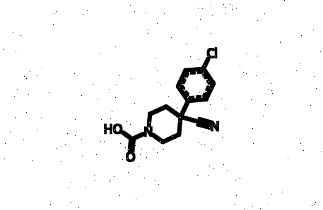 N#CC1(c2ccc(Cl)cc2)CCN(C(=O)O)CC1